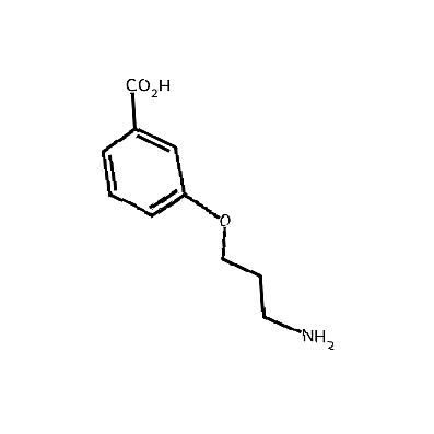 NCCCOc1cccc(C(=O)O)c1